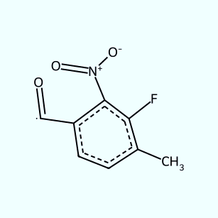 Cc1ccc([C]=O)c([N+](=O)[O-])c1F